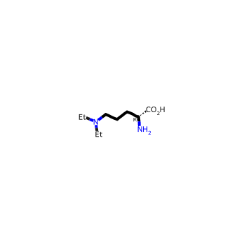 CCN(CC)CCC[C@@H](N)C(=O)O